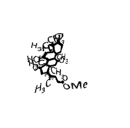 COC(=O)CC[C@@H](C)[C@H]1CC(=O)[C@@]2(C)C3=C(C(=O)C[C@]12C)[C@@]1(C)CCC(=O)C(C)(C)[C@@H]1C[C@@H]3O